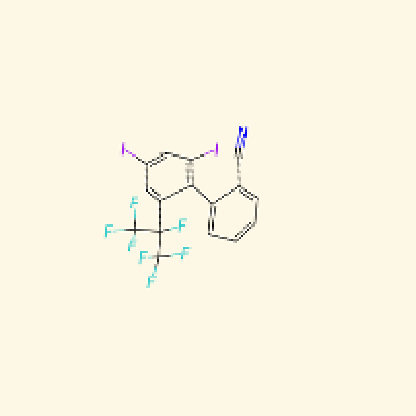 N#Cc1ccccc1-c1c(I)[c]c(I)cc1C(F)(C(F)(F)F)C(F)(F)F